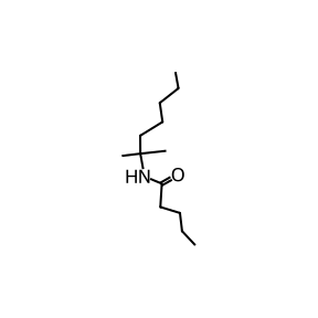 CCCCCC(C)(C)NC(=O)CCCC